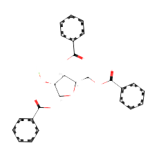 O=C(OC[C@H]1O[C@H](OC(=O)c2ccccc2)[C@@H](OF)[C@@H]1OC(=O)c1ccccc1)c1ccccc1